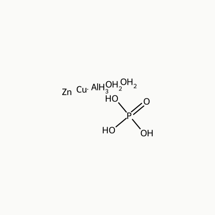 O.O.O=P(O)(O)O.[AlH3].[Cu].[Zn]